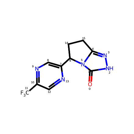 O=c1[nH]nc2n1C(c1cnc(C(F)(F)F)cn1)CC2